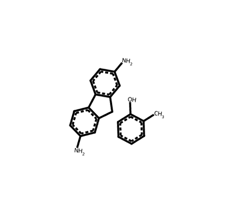 Cc1ccccc1O.Nc1ccc2c(c1)Cc1cc(N)ccc1-2